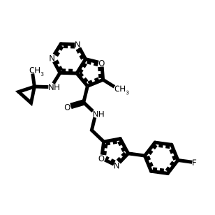 Cc1oc2ncnc(NC3(C)CC3)c2c1C(=O)NCc1cc(-c2ccc(F)cc2)no1